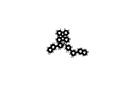 c1ccc(C2(c3ccccc3)c3ccccc3-c3c(N(c4ccc(-c5cccc(-c6ccc7ccccc7c6)c5)cc4)c4ccc(-c5ccc6ccccc6c5)cc4)cccc32)cc1